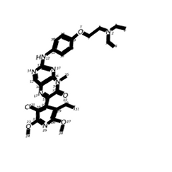 CCN(CC)CCOc1ccc(Nc2ncc3nc(-c4c(Cl)c(OC)nc(OC)c4CI)c(=O)n(C)c3n2)cc1